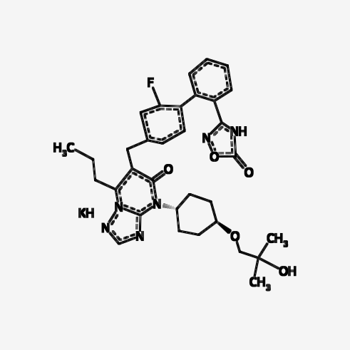 CCCc1c(Cc2ccc(-c3ccccc3-c3noc(=O)[nH]3)c(F)c2)c(=O)n([C@H]2CC[C@H](OCC(C)(C)O)CC2)c2ncnn12.[KH]